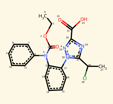 CCOC(=O)N(c1ccccc1)c1ccccc1-n1nc(C(=O)O)nc1C(C)Cl